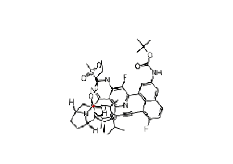 CCCCOC(=O)N1[C@@H]2CC[C@H]1[C@H]1[C@H](C)Oc3nc(-c4cc(NC(=O)OC(C)(C)C)cc5ccc(F)c(C#C[Si](C(C)C)(C(C)C)C(C)C)c45)c(F)c4nc(S(C)(=O)=O)nc(c34)N1C2